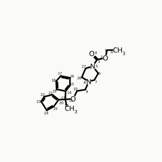 CCOC(=O)N1CCN(CCOC(C)(c2ccccc2)c2ccccc2)CC1